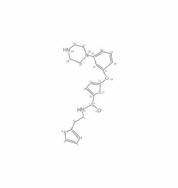 [O-][S+](NCCc1cccs1)c1ccc(Oc2cccc(N3CCNCC3)c2)s1